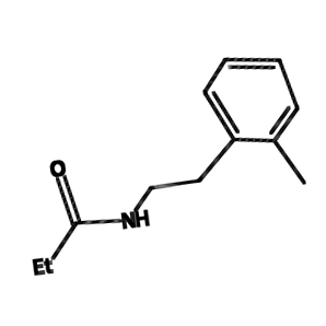 CCC(=O)NCCc1ccccc1C